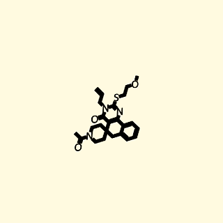 C=CCn1c(SCCOC)nc2c(c1=O)C1(CCN(C(C)=O)CC1)Cc1ccccc1-2